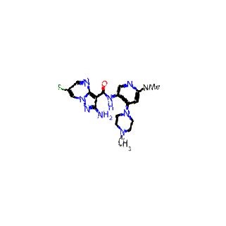 CNc1cc(N2CCN(C)CC2)c(NC(=O)c2c(N)nn3cc(F)cnc23)cn1